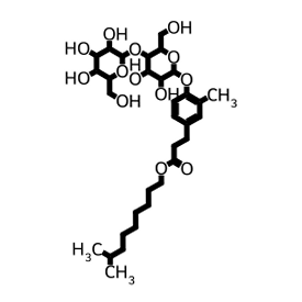 Cc1cc(CCC(=O)OCCCCCCCC(C)C)ccc1OC1OC(CO)C(OC2OC(CO)C(O)C(O)C2O)C(O)C1O